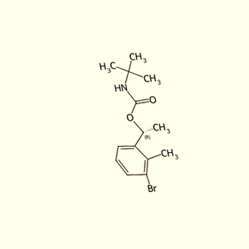 Cc1c(Br)cccc1[C@@H](C)OC(=O)NC(C)(C)C